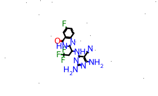 N#Cc1c(N)nc(N)nc1NC(CC(F)(F)F)c1nc2ccc(F)cc2c(=O)[nH]1